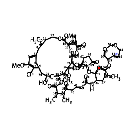 COC1=C(Cl)C2CC(=C1)CC(C)CCC[C@@H](OC)[C@@]1(O)C[C@H](OC(=O)N1)[C@@H](C)[C@@H]1O[C@@]1(C)[C@@H](OC(=O)[C@H](C)N(C)C(=O)CCSC(=O)NC(CN(C)C(=O)OC1/C=C/COCOC1)C(=O)ON1C(=O)CCC1=O)CC(O)C2